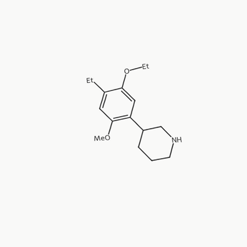 CCOc1cc(C2CCCNC2)c(OC)cc1CC